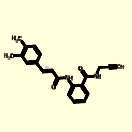 C#CCNC(=O)c1ccccc1NC(=O)/C=C/c1ccc(C)c(C)c1